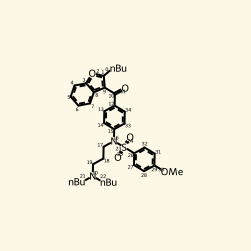 CCCCc1oc2ccccc2c1C(=O)c1ccc(N(CCCN(CCCC)CCCC)S(=O)(=O)c2ccc(OC)cc2)cc1